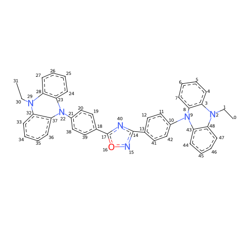 CCN1c2ccccc2N(c2ccc(-c3noc(-c4ccc(N5c6ccccc6N(CC)c6ccccc65)cc4)n3)cc2)c2ccccc21